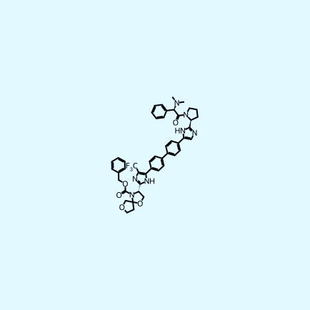 CN(C)[C@@H](C(=O)N1CCC[C@H]1c1ncc(-c2ccc(-c3ccc(-c4[nH]c([C@@H]5COC6(CCOC6)N5C(=O)OCc5ccccc5)nc4C(F)(F)F)cc3)cc2)[nH]1)c1ccccc1